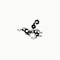 CSC1OC([C@H](NC(=O)[C@H]2NC[C@@H]3C[C@H](CC(C)C)CCO[C@H]32)[C@H](C)Sc2ccc(CN3CCCCC3)cc2)C(O)C(O)C1O